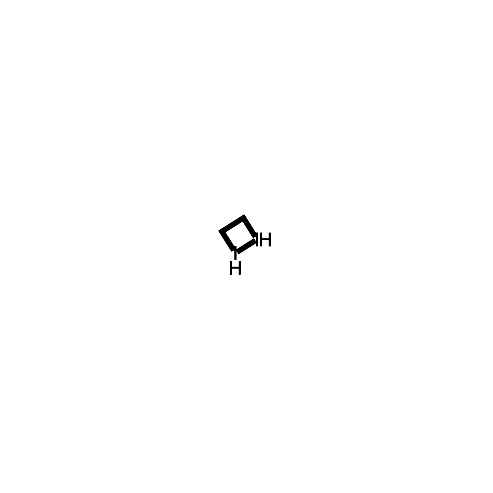 C1C[IH][IH]1